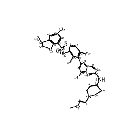 COCCN1CCC(Nc2ncc3cc(-c4c(F)ccc(NS(=O)(=O)c5cc(Cl)cc6c5OCC6O)c4F)cc(F)c3n2)CC1